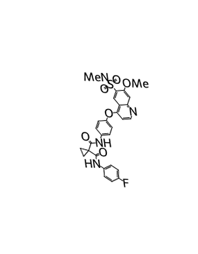 CNS(=O)(=O)c1cc2c(Oc3ccc(NC(=O)C4(C(=O)Nc5ccc(F)cc5)CC4)cc3)ccnc2cc1OC